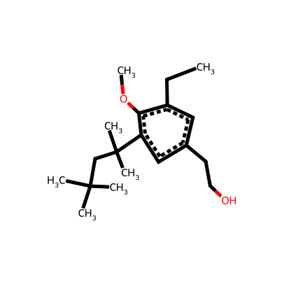 CCc1cc(CCO)cc(C(C)(C)CC(C)(C)C)c1OC